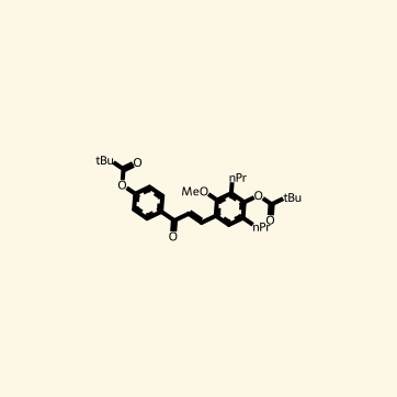 CCCc1cc(C=CC(=O)c2ccc(OC(=O)C(C)(C)C)cc2)c(OC)c(CCC)c1OC(=O)C(C)(C)C